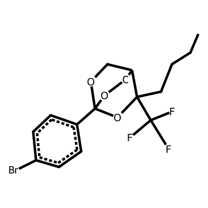 CCCCC1(C(F)(F)F)OC2(c3ccc(Br)cc3)OCC1CO2